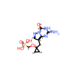 Nc1nc2c(CC3(OCP(=O)(O)O)CC3)cnn2c(=O)[nH]1